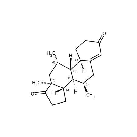 C[C@@H]1CC2=CC(=O)CC[C@@H]2[C@@H]2[C@@H]1[C@@H]1CCC(=O)[C@@]1(C)C[C@@H]2C